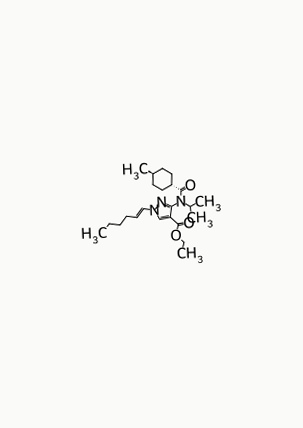 CCCCC=Cn1cc(C(=O)OCC)c(N(C(=O)[C@H]2CC[C@H](C)CC2)C(C)C)n1